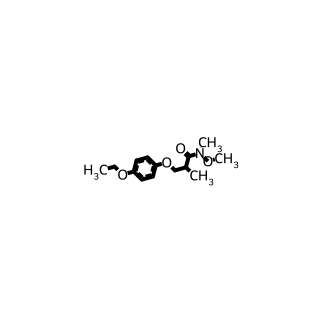 CCOc1ccc(OCC(C)C(=O)N(C)OC)cc1